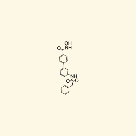 O=C(NO)c1ccc(-c2cccc(NS(=O)(=O)Cc3ccccc3)c2)cc1